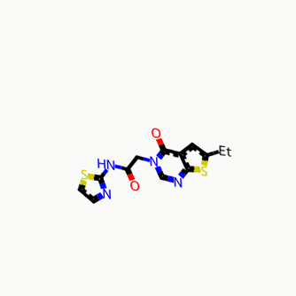 CCc1cc2c(=O)n(CC(=O)Nc3nccs3)cnc2s1